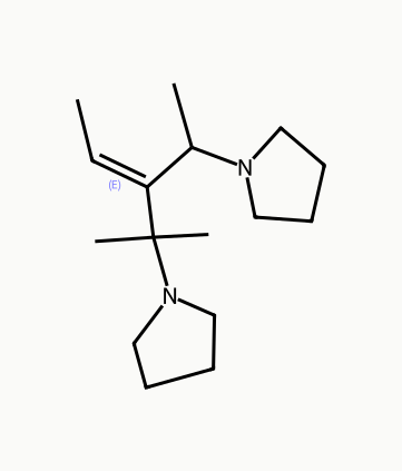 C/C=C(\C(C)N1CCCC1)C(C)(C)N1CCCC1